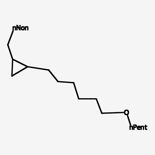 CCCCCCCCCCC1CC1CCCCCCOCCCCC